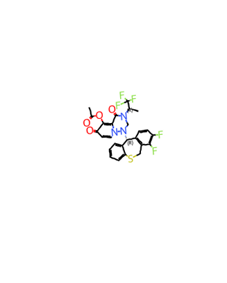 CC(=O)Oc1c2n(ccc1=O)N([C@H]1c3ccccc3SCc3c1ccc(F)c3F)CN([C@H](C)C(F)(F)F)C2=O